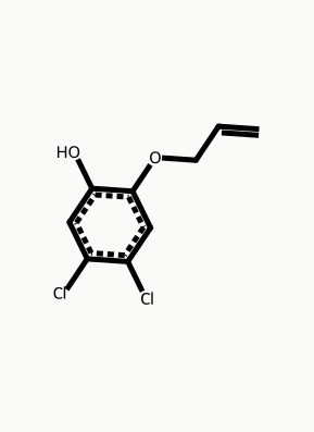 C=CCOc1cc(Cl)c(Cl)cc1O